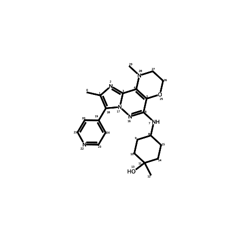 Cc1nc2c3c(c(NC4CCC(C)(O)CC4)nn2c1-c1ccncc1)OCCN3C